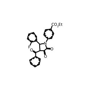 CCOC(=O)c1ccc(N2C(=O)C(=O)C(C(=O)c3ccccc3)C2c2ccccc2F)cc1